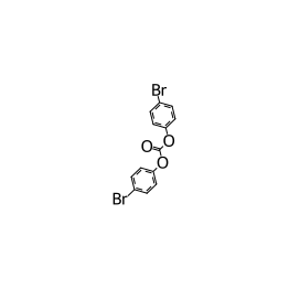 O=C(Oc1ccc(Br)cc1)Oc1ccc(Br)cc1